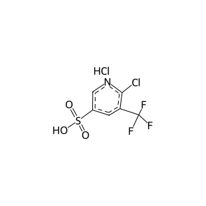 Cl.O=S(=O)(O)c1cnc(Cl)c(C(F)(F)F)c1